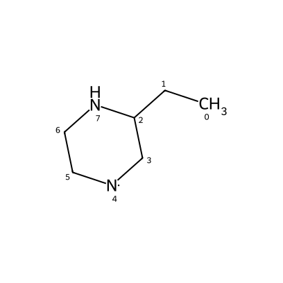 CCC1C[N]CCN1